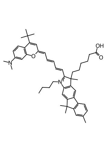 CCCC[N+]1=C(/C=C/C=C/C=C2/C=C(C(C)(C)C)c3ccc(N(C)C)cc3O2)C(C)(CCCCCC(=O)O)c2cc3c(cc21)C(C)(C)c1cc(C)ccc1-3